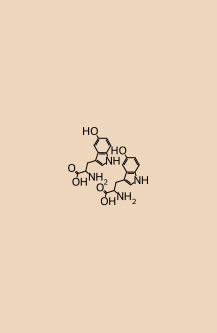 NC(Cc1c[nH]c2ccc(O)cc12)C(=O)O.NC(Cc1c[nH]c2ccc(O)cc12)C(=O)O